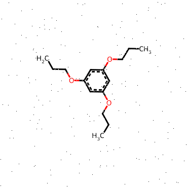 [CH2]CCOc1cc(OCCC)cc(OCCC)c1